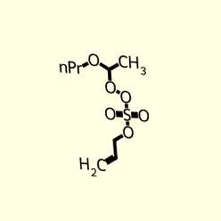 C=CCOS(=O)(=O)OOC(C)OCCC